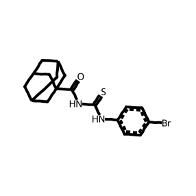 O=C(NC(=S)Nc1ccc(Br)cc1)C12CC3CC(CC(C3)C1)C2